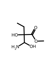 CCC(O)(C(=O)OC)C(N)O